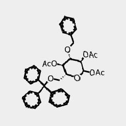 CC(=O)OC1O[C@H](COC(c2ccccc2)(c2ccccc2)c2ccccc2)[C@@H](OC(C)=O)[C@H](OCc2ccccc2)[C@H]1OC(C)=O